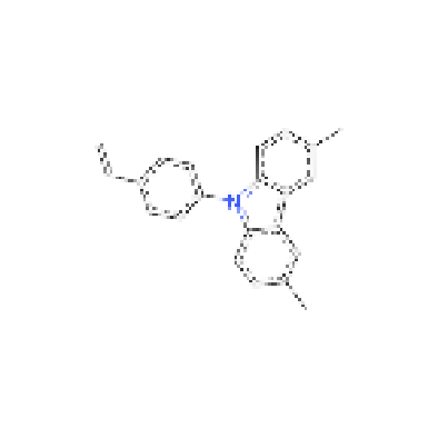 C=Cc1ccc(-n2c3ccc(C)cc3c3cc(C)ccc32)cc1